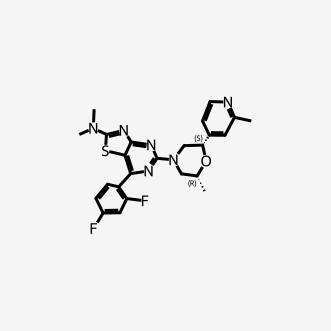 Cc1cc([C@H]2CN(c3nc(-c4ccc(F)cc4F)c4sc(N(C)C)nc4n3)C[C@@H](C)O2)ccn1